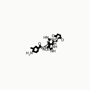 Cc1cc(C(=O)N[C@H]2CN3C(=N)N[C@@H](CN4C(=O)CCC4=O)[C@@H]4NC(=N)N[C@@]43C2(O)O)ccc1N